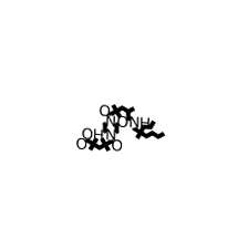 CCCCC(C)(CCC)CNC(=O)C(C)CC(C)(C)C(=O)N1CCN(C(=O)C(C)(C)CC(C)(C)C(=O)O)CC1